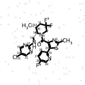 Cc1nc(C(=O)N2CC(F)(F)C[C@@H](C)[C@H]2CNc2ncc(Cl)cn2)c(-c2ccc(F)cn2)s1